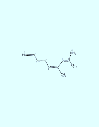 CC(=C/C=C/C=N)/C=C(\C)N